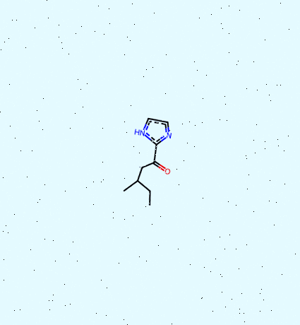 CCC(C)[CH]C(=O)c1ncc[nH]1